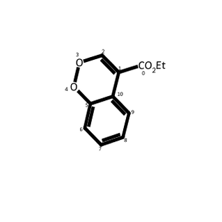 CCOC(=O)C1=COOc2ccccc21